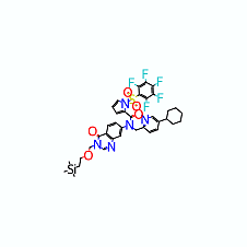 C[Si](C)(C)CCOCn1cnc2cc(N(Cc3ccc(C4CCCCC4)cn3)C(=O)c3cccn3S(=O)(=O)c3c(F)c(F)c(F)c(F)c3F)ccc2c1=O